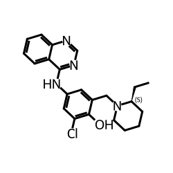 CC[C@H]1CCCCN1Cc1cc(Nc2ncnc3ccccc23)cc(Cl)c1O